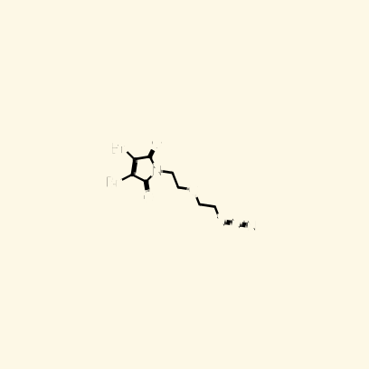 [N-]=[N+]=NCCOCCN1C(=O)C(Br)=C(Br)C1=O